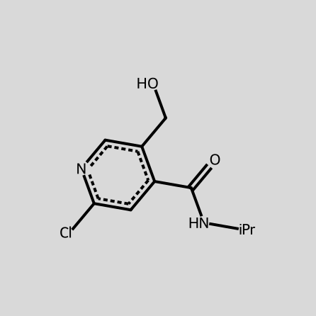 CC(C)NC(=O)c1cc(Cl)ncc1CO